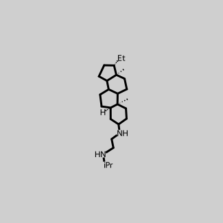 CC[C@H]1CCC2C3CC[C@@H]4CC(NCCNC(C)C)CC[C@]4(C)C3CC[C@@]21C